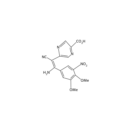 COc1cc(C(N)=C(C#N)c2cnc(C(=O)O)cn2)cc([N+](=O)[O-])c1OC